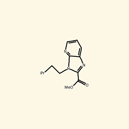 COC(=O)c1nc2cccnc2n1CCC(C)C